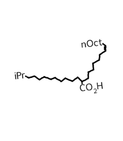 CCCCCCCC/C=C\CCCCCCC(CCCCCCCCCCC(C)C)C(=O)O